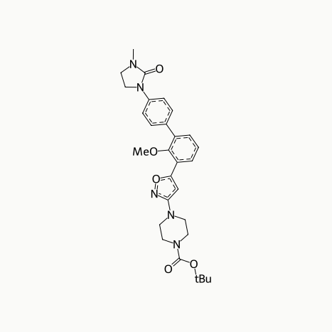 COc1c(-c2ccc(N3CCN(C)C3=O)cc2)cccc1-c1cc(N2CCN(C(=O)OC(C)(C)C)CC2)no1